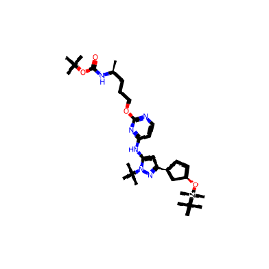 C[C@@H](CCCOc1nccc(Nc2cc([C@H]3CC[C@@H](O[Si](C)(C)C(C)(C)C)C3)nn2C(C)(C)C)n1)NC(=O)OC(C)(C)C